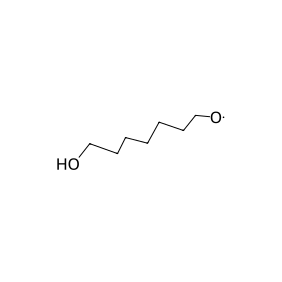 [O]CCCCCCCO